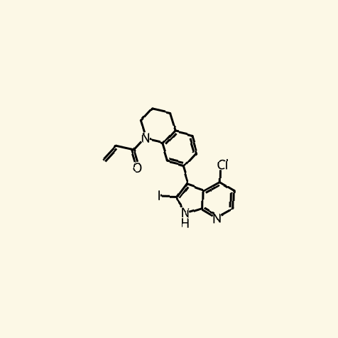 C=CC(=O)N1CCCc2ccc(-c3c(I)[nH]c4nccc(Cl)c34)cc21